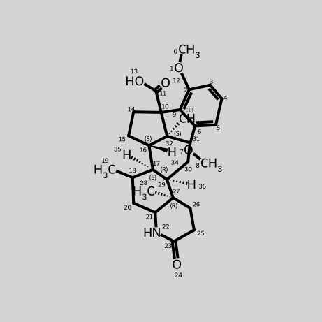 COc1cccc(OC)c1C1(C(=O)O)CC[C@H]2[C@@H]3C(C)CC4NC(=O)CC[C@]4(C)[C@@H]3CC[C@@]21C